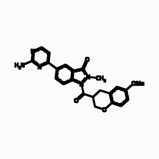 COc1ccc2c(c1)CC(C(=O)n1c3ccc(-c4ccnc(N)n4)cc3c(=O)n1C)CO2